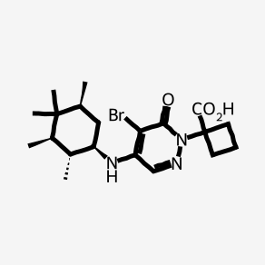 C[C@@H]1[C@@H](C)C(C)(C)[C@@H](C)C[C@H]1Nc1cnn(C2(C(=O)O)CCC2)c(=O)c1Br